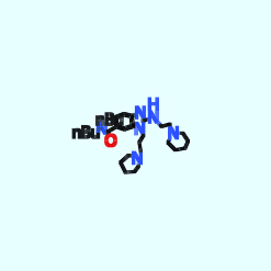 CCCCN(CCCC)C(=O)c1ccc2nc(NCCN3CCCCC3)n(CCCN3CCCCC3)c2c1